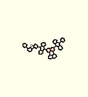 c1ccc(-c2c3ccccc3c(-c3cccc(-c4cccc5cccc(-c6cccc(-c7c8ccccc8c(-c8ccc9oc%10c(-c%11ccccc%11)cccc%10c9c8)c8ccccc78)c6)c45)c3)c3ccccc23)cc1